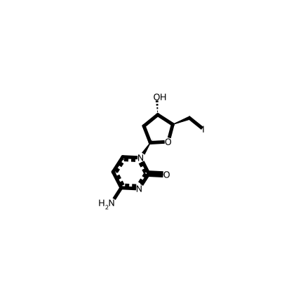 Nc1ccn([C@H]2C[C@H](O)[C@@H](CI)O2)c(=O)n1